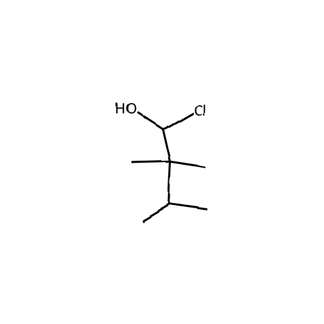 CC(C)C(C)(C)C(O)Cl